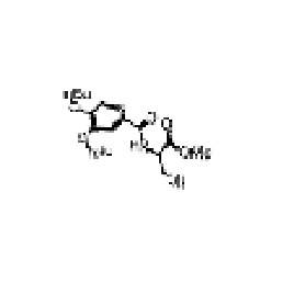 CCCCOc1cnc(C(=O)NC(CO)C(=O)OC)cc1OCCCC